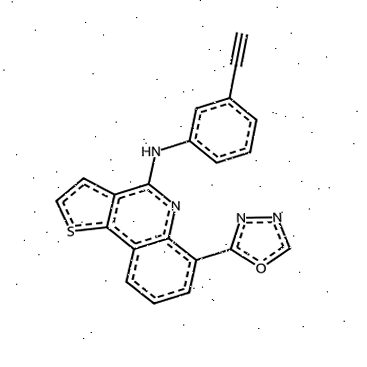 C#Cc1cccc(Nc2nc3c(-c4nnco4)cccc3c3sccc23)c1